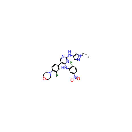 Cn1cc(Nc2ncc(-c3ccc(N4CCOCC4)c(F)c3)c(Nc3cc([N+](=O)[O-])ccc3F)n2)cn1